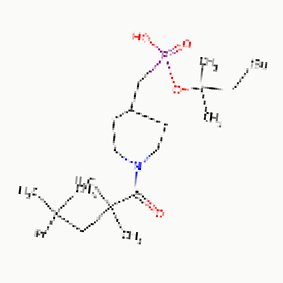 CC(C)C(C)(C)CC(C)(C)C(=O)N1CCC(CP(=O)(O)OC(C)(C)CC(C)(C)C)CC1